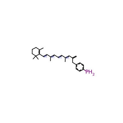 C=C(/C=C(C)/C=C/C=C(C)/C=C/C1=C(C)CCCC1(C)C)Cc1ccc(P)cc1